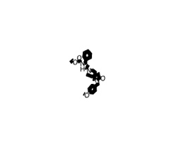 CCOC(=O)N[C@@H](CCN1CCC2(CC1)CC(=O)N(Cc1ccc(OC)cc1)C2)c1ccccc1